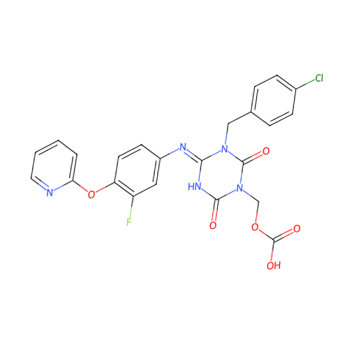 O=C(O)OCn1c(=O)[nH]/c(=N\c2ccc(Oc3ccccn3)c(F)c2)n(Cc2ccc(Cl)cc2)c1=O